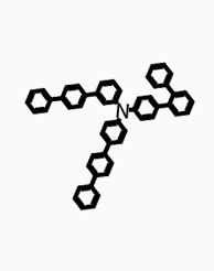 c1ccc(-c2ccc(-c3ccc(N(c4ccc(-c5ccccc5-c5ccccc5)cc4)c4cccc(-c5ccc(-c6ccccc6)cc5)c4)cc3)cc2)cc1